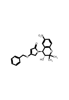 CC1(C)Oc2ccc([N+](=O)[O-])cc2[C@H](N2CC(OCc3ccccc3)=CC2=O)[C@H]1O